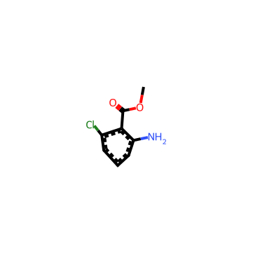 COC(=O)c1c(N)cccc1Cl